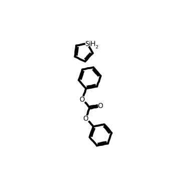 C1=C[SiH2]C=C1.O=C(Oc1ccccc1)Oc1ccccc1